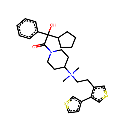 C[N+](C)(CCc1cscc1-c1ccsc1)C1CCN(C(=O)C(O)(c2ccccc2)C2CCCC2)CC1